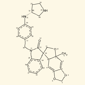 CC12C=C3OCOC3=CC1C1(CO2)C(=O)N(Cc2ccc(N[C@@H]3CCNC3)cc2)c2ccccc21